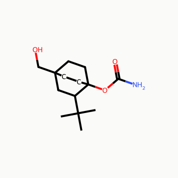 CC(C)(C)C1CC2(CO)CCC1(OC(N)=O)CC2